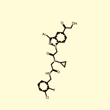 CC(=O)c1nn(CC(=O)N(CC(=O)NCc2cccc(Cl)c2F)C2CC2)c2ccc(C(=O)CO)cc12